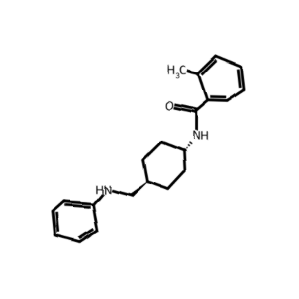 Cc1ccccc1C(=O)N[C@H]1CC[C@H](CNc2ccccc2)CC1